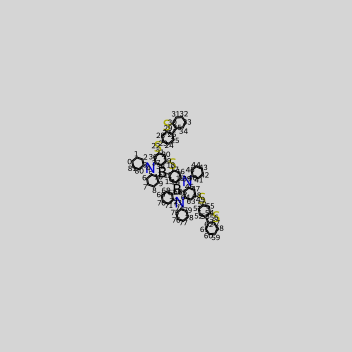 c1ccc(N2c3ccccc3B3c4cc5c(cc4Sc4cc(Sc6ccc7c(c6)sc6ccccc67)cc2c43)N(c2ccccc2)c2cc(Sc3ccc4c(c3)sc3ccccc34)cc3c2B5c2ccccc2N3c2ccccc2)cc1